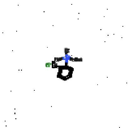 CCCCCCCC[N+](CC)(CC)c1ccccc1C.[Cl-]